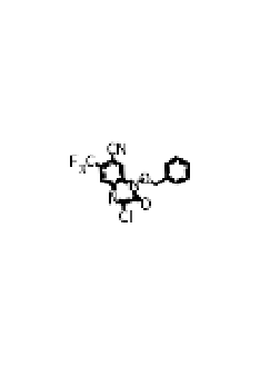 N#Cc1cc2c(cc1C(F)(F)F)nc(Cl)c(=O)n2OCc1ccccc1